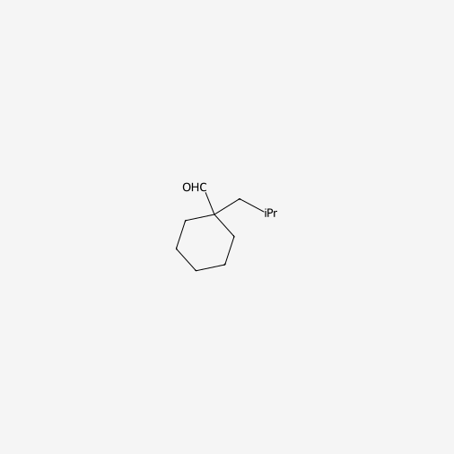 CC(C)CC1(C=O)CCCCC1